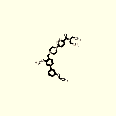 CCOc1cccc(-c2ccc(CN3CCN(c4ccc(C(=O)N(CC)CC)nn4)CC3)c(OC)c2)c1